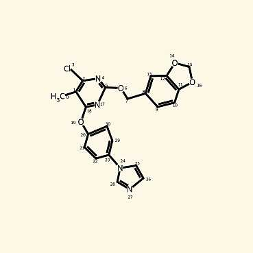 Cc1c(Cl)nc(OCc2ccc3c(c2)OCO3)nc1Oc1ccc(-n2ccnc2)cc1